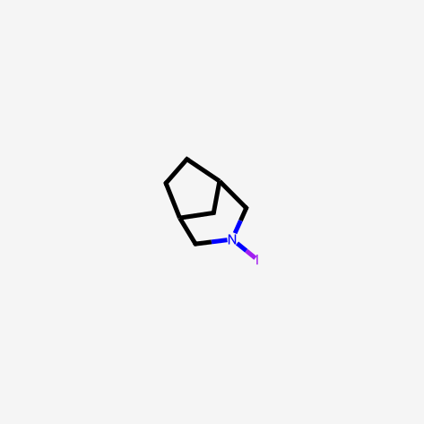 IN1CC2CCC(C2)C1